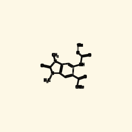 COC(=O)c1cc2c(cc1NC(=O)OC(C)(C)C)n(C)c(=O)n2C